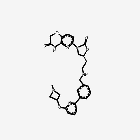 CN1CC(Oc2cccc(-c3cccc(CNCC[C@H]4CN(c5ccc6c(n5)NC(=O)CO6)C(=O)O4)c3)n2)C1